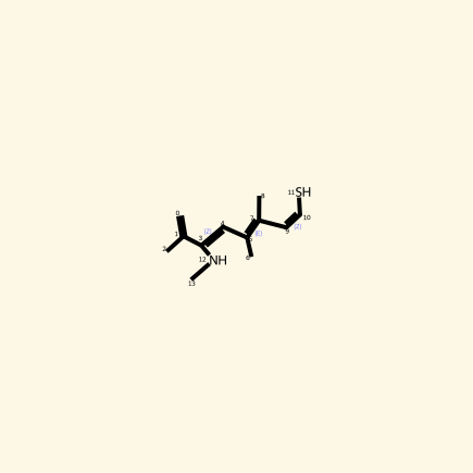 C=C(C)/C(=C/C(C)=C(C)/C=C\S)NC